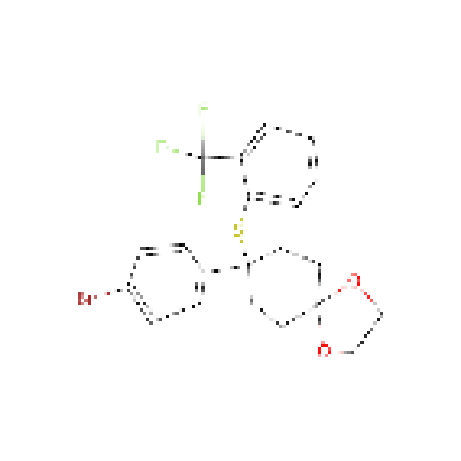 FC(F)(F)c1ccccc1SC1(c2ccc(Br)cc2)CCC2(CC1)OCCO2